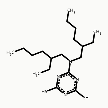 CCCCC(CC)CN(CC(CC)CCCC)c1nc(S)nc(S)n1